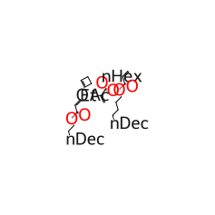 C=C(CC)C(=O)OCCCCCC.C=CC(=O)OCCCCCCCCCCCC.C=CC(=O)OCCCCCCCCCCCCCC.CC(=O)OC1=CCC1